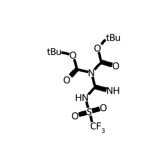 CC(C)(C)OC(=O)N(C(=N)NS(=O)(=O)C(F)(F)F)C(=O)OC(C)(C)C